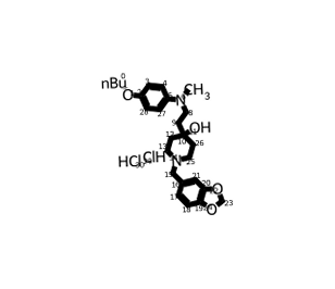 CCCCOc1ccc(N(C)CCC2(O)CCN(Cc3ccc4c(c3)OCO4)CC2)cc1.Cl.Cl